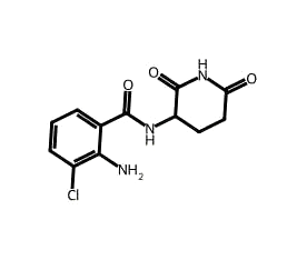 Nc1c(Cl)cccc1C(=O)NC1CCC(=O)NC1=O